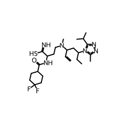 C=CC(CC(CC)n1c(C)nnc1C(C)C)N(C)CCC(NC(=O)C1CCC(F)(F)CC1)C(=N)S